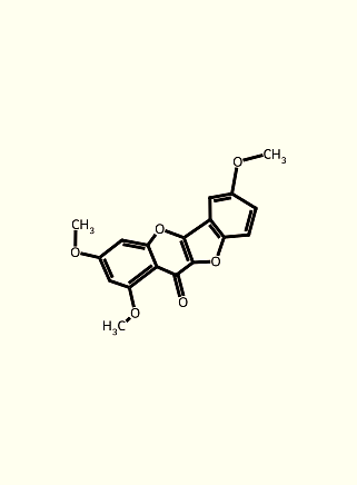 COc1cc(OC)c2c(=O)c3oc4ccc(OC)cc4c3oc2c1